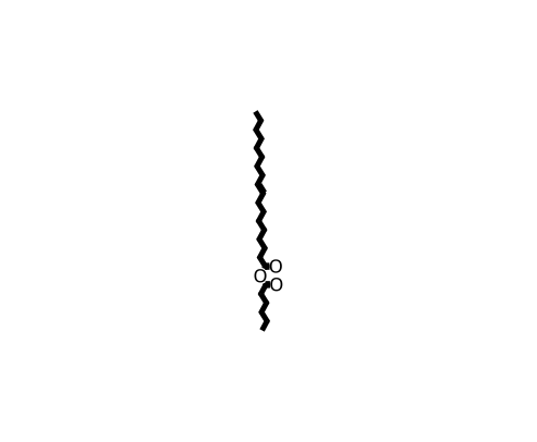 CCCCCCCCC=CCCCCCCCC(=O)OC(=O)CCCCC